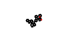 CC1(C)CCC(C)(C)c2c(N(c3ccc4c(c3)-c3cccc(-c5ccccc5)c3C43C4CC5CC6CC3C64C5)c3ccc4c(c3)C(C)(C)c3ccccc3-4)cccc21